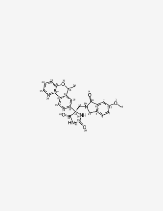 COc1ccc2c(c1)C(=O)N(C[C@@]1(c3ccc4c(c3)C(C)Oc3cccnc3-4)NC(=O)NC1=O)C2